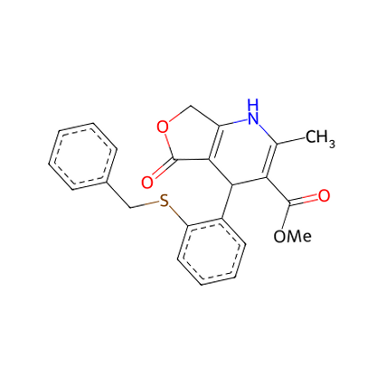 COC(=O)C1=C(C)NC2=C(C(=O)OC2)C1c1ccccc1SCc1ccccc1